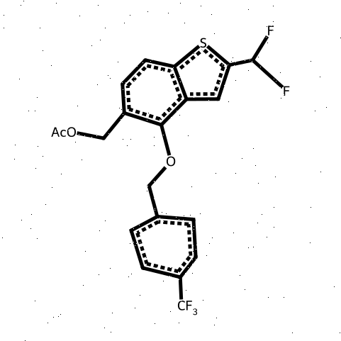 CC(=O)OCc1ccc2sc(C(F)F)cc2c1OCc1ccc(C(F)(F)F)cc1